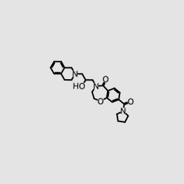 O=C(c1ccc2c(c1)OCCN(CC(O)CN1CCc3ccccc3C1)C2=O)N1CCCC1